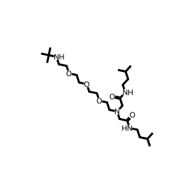 CC(C)CCNC(=O)CN(CCOCCOCCOCCNC(C)(C)C)CC(=O)NCCC(C)C